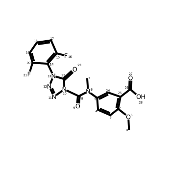 COc1ccc(N(C)C(=O)n2nnn(-c3c(F)cccc3F)c2=O)cc1C(=O)O